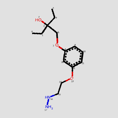 CCC(O)(CC)COc1cccc(OCCNN)c1